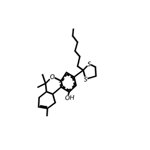 CCCCCCC1(c2cc(O)c3c(c2)OC(C)(C)C2CC=C(C)CC32)SCCS1